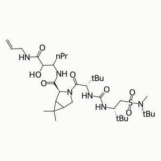 C=CCNC(=O)C(O)C(CCC)NC(=O)[C@@H]1C2C(CN1C(=O)[C@@H](NC(=O)N[C@H](CS(=O)(=O)N(C)C(C)(C)C)C(C)(C)C)C(C)(C)C)C2(C)C